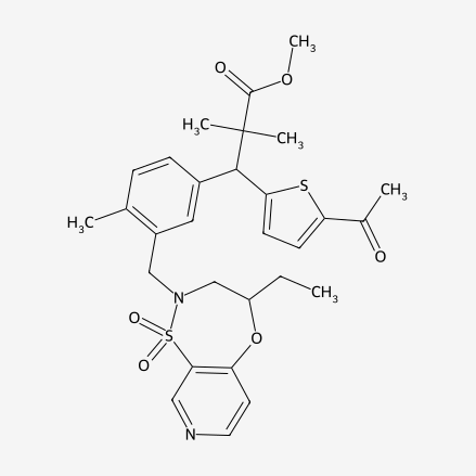 CCC1CN(Cc2cc(C(c3ccc(C(C)=O)s3)C(C)(C)C(=O)OC)ccc2C)S(=O)(=O)c2cnccc2O1